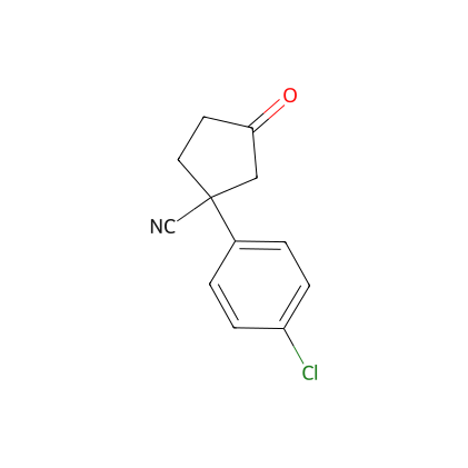 N#CC1(c2ccc(Cl)cc2)CCC(=O)C1